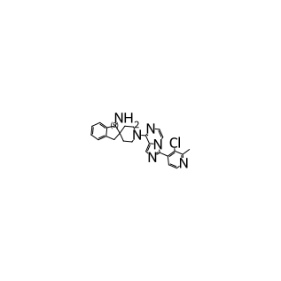 Cc1nccc(-c2ncc3c(N4CCC5(CC4)Cc4ccccc4[C@H]5N)nccn23)c1Cl